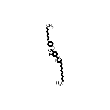 CCCCCCCCCCc1cnc(-c2ccc(C(=O)O[C@H]3CC[C@H](CCCCCCCC)CC3)c(F)c2)nc1